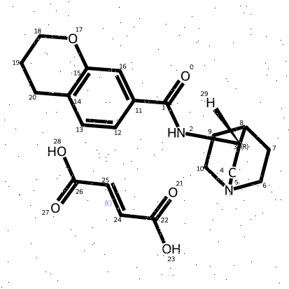 O=C(N[C@H]1CN2CCC1CC2)c1ccc2c(c1)OCCC2.O=C(O)/C=C/C(=O)O